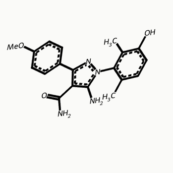 COc1ccc(-c2nn(-c3c(C)ccc(O)c3C)c(N)c2C(N)=O)cc1